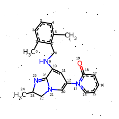 Cc1cccc(C)c1CNC1=CC(n2ccccc2=O)=CN2CC(C)N=C12